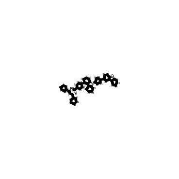 c1ccc(-c2cc(-c3ccccc3)nc(-c3ccc(-c4cccc5c4c4ccccc4n5-c4ccc(-c5ccc6oc7ccccc7c6c5)cc4)cc3)n2)cc1